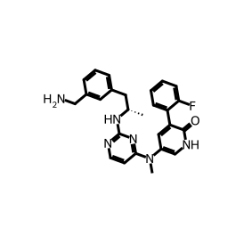 C[C@@H](Cc1cccc(CN)c1)Nc1nccc(N(C)c2c[nH]c(=O)c(-c3ccccc3F)c2)n1